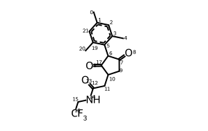 Cc1cc(C)c(C2C(=O)CC(CC(=O)NCC(F)(F)F)C2=O)c(C)c1